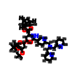 CC(C)(C)OC(=O)CC(CC[C@H](NC(O)c1ccc(CN(Cc2ccccn2)Cc2ccccn2)nc1)B1O[C@@H]2C[C@@H]3C[C@@H](C3(C)C)[C@]2(C)O1)O[Si](C)(C)C(C)(C)C